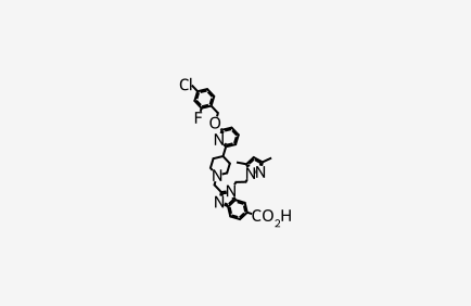 Cc1cc(C)n(CCn2c(CN3CCC(c4cccc(OCc5ccc(Cl)cc5F)n4)CC3)nc3ccc(C(=O)O)cc32)n1